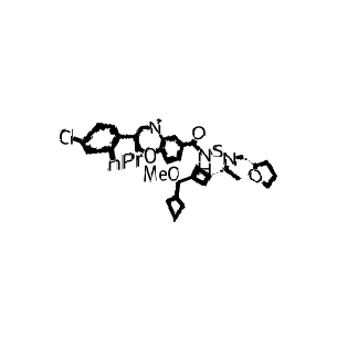 CCCc1cc(Cl)ccc1C1COc2ccc(C(=O)NSN(C[C@@H]3CCCO3)C(C)[C@H]3C=C(C(OC)C4CCC4)C3)cc2N(C)C1